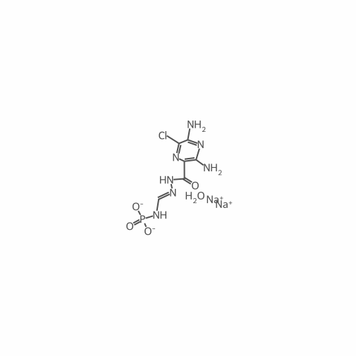 Nc1nc(N)c(C(=O)NN=CNP(=O)([O-])[O-])nc1Cl.O.[Na+].[Na+]